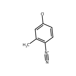 Cc1cc(Cl)ccc1[N+]#N